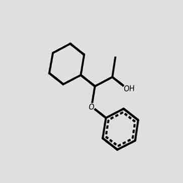 CC(O)C(Oc1ccccc1)C1CCCCC1